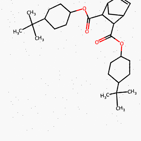 CC(C)(C)C1CCC(OC(=O)C2C3C=CC(C3)C2C(=O)OC2CCC(C(C)(C)C)CC2)CC1